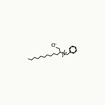 CCCCCCCCCCC(CC)[N+](C)(C)Cc1ccccc1.[Cl-]